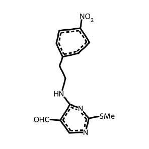 CSc1ncc(C=O)c(NCCc2ccc([N+](=O)[O-])cc2)n1